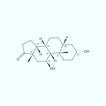 C[C@]12CC[C@@H](O)C[C@H]1CC[C@@H]1[C@H]2[C@@H](O)C[C@]2(C)C(=O)CC[C@H]12